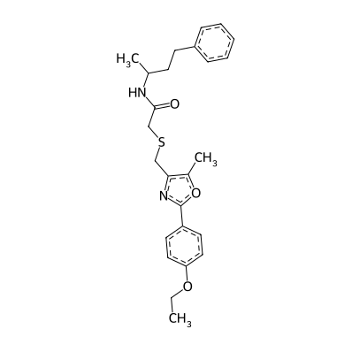 CCOc1ccc(-c2nc(CSCC(=O)NC(C)CCc3ccccc3)c(C)o2)cc1